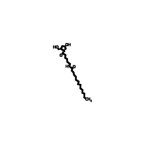 CCCCCCCCCCCCCCC(=O)NCCCCCC(=O)N1CC(O)C[C@H]1CO